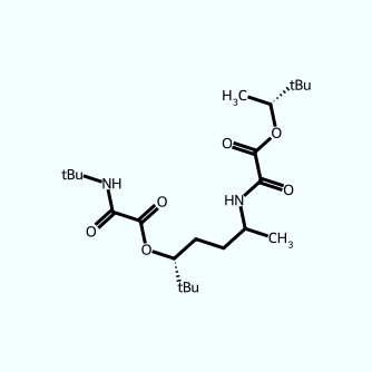 CC(CC[C@@H](OC(=O)C(=O)NC(C)(C)C)C(C)(C)C)NC(=O)C(=O)O[C@H](C)C(C)(C)C